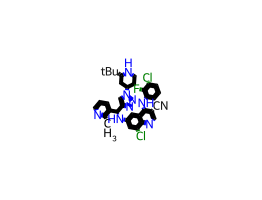 Cc1ncccc1[C@H](Nc1cc(Cl)c2ncc(C#N)c(Nc3cccc(Cl)c3F)c2c1)c1cn(C2CCNC(C(C)(C)C)C2)nn1